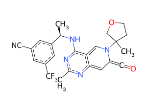 Cc1nc(N[C@H](C)c2cc(C#N)cc(C(F)(F)F)c2)c2c(n1)=CC(=C=O)N(C1(C)CCOC1)C=2